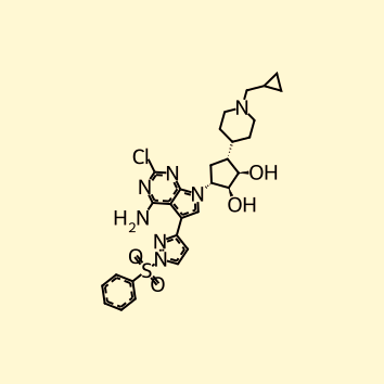 Nc1nc(Cl)nc2c1c(-c1ccn(S(=O)(=O)c3ccccc3)n1)cn2[C@@H]1C[C@H](C2CCN(CC3CC3)CC2)[C@@H](O)[C@H]1O